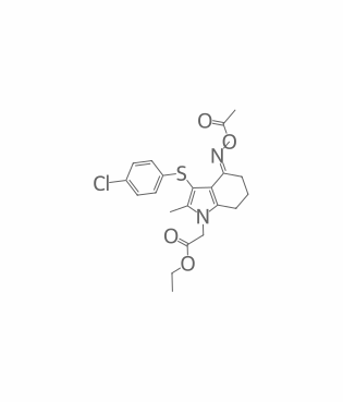 CCOC(=O)Cn1c(C)c(Sc2ccc(Cl)cc2)c2c1CCC/C2=N\OC(C)=O